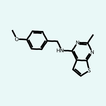 COc1ccc(CNc2nc(C)nc3sccc23)cc1